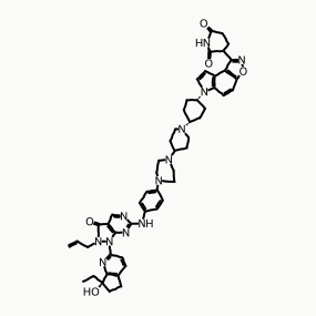 C=CCn1c(=O)c2cnc(Nc3ccc(N4CCN(C5CCN([C@H]6CC[C@@H](n7ccc8c9c(C%10CCC(=O)NC%10=O)noc9ccc87)CC6)CC5)CC4)cc3)nc2n1-c1ccc2c(n1)[C@@](O)(CC)CC2